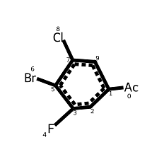 CC(=O)c1cc(F)c(Br)c(Cl)c1